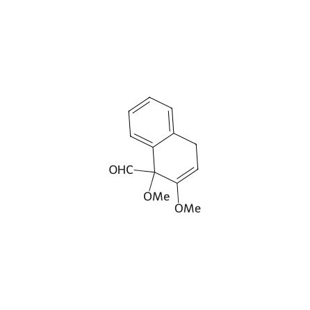 COC1=CCc2ccccc2C1(C=O)OC